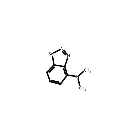 CN(C)c1cccc2[se]nnc12